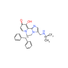 C[C@@H](NCc1cnc2n1C[C@H](C(c1ccccc1)c1ccccc1)n1ccc(=O)c(O)c1-2)C(F)(F)F